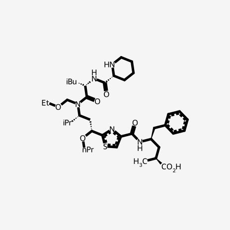 CCCO[C@H](C[C@H](C(C)C)N(COCC)C(=O)[C@@H](NC(=O)[C@H]1CCCCN1)[C@@H](C)CC)c1nc(C(=O)N[C@@H](Cc2ccccc2)C[C@H](C)C(=O)O)cs1